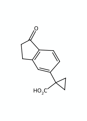 O=C1CCc2cc(C3(C(=O)O)CC3)ccc21